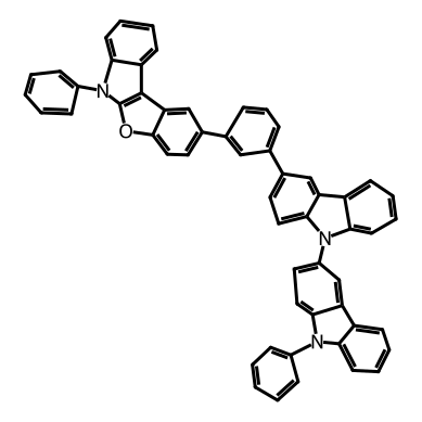 c1ccc(-n2c3ccccc3c3cc(-n4c5ccccc5c5cc(-c6cccc(-c7ccc8oc9c(c8c7)c7ccccc7n9-c7ccccc7)c6)ccc54)ccc32)cc1